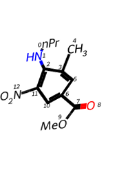 CCCNc1c(C)cc(C(=O)OC)cc1[N+](=O)[O-]